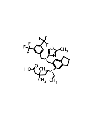 CCN(CCC(C)(C)CC(=O)O)c1cc2c(cc1CN(Cc1cc(C(F)(F)F)cc(C(F)(F)F)c1)c1coc(C)n1)CCC2